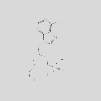 CCOC[C@H](Cn1cnc2c(N)ncnc21)OCP(=O)(O)OC